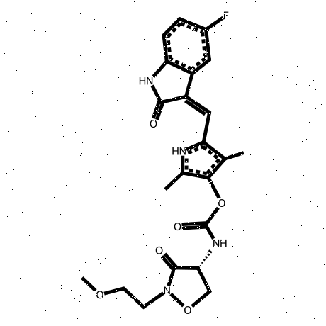 COCCN1OC[C@@H](NC(=O)Oc2c(C)[nH]c(/C=C3\C(=O)Nc4ccc(F)cc43)c2C)C1=O